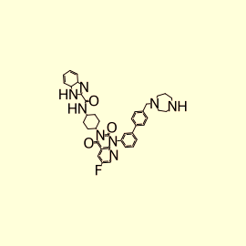 O=C(N[C@H]1CC[C@@H](n2c(=O)c3cc(F)cnc3n(-c3cccc(-c4ccc(CN5CCCNCC5)cc4)c3)c2=O)CC1)C1=NC2C=CC=CC2N1